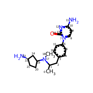 CC(Cc1ccc(-n2ccc(N)nc2=O)cc1)N(C)C1CC[C@@H](N)C1